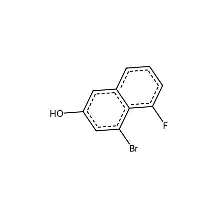 Oc1cc(Br)c2c(F)cccc2c1